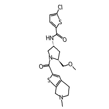 COC[C@@H]1C[C@@H](NC(=O)c2ccc(Cl)s2)CN1C(=O)c1cc2c(s1)CN(C)CC2